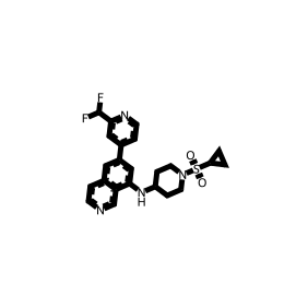 O=S(=O)(C1CC1)N1CCC(Nc2cc(-c3ccnc(C(F)F)c3)cc3ccncc23)CC1